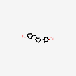 Oc1ccc(Cc2cccc(-c3ccc(O)cc3)c2)cc1